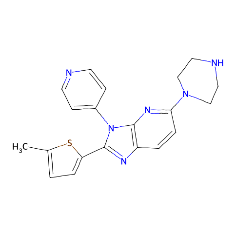 Cc1ccc(-c2nc3ccc(N4CCNCC4)nc3n2-c2ccncc2)s1